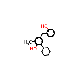 Cc1cc(Cc2ccccc2O)cc(C2CCCCC2)c1O